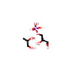 CC(O)CO.O=CC(O)COP(=O)(O)O